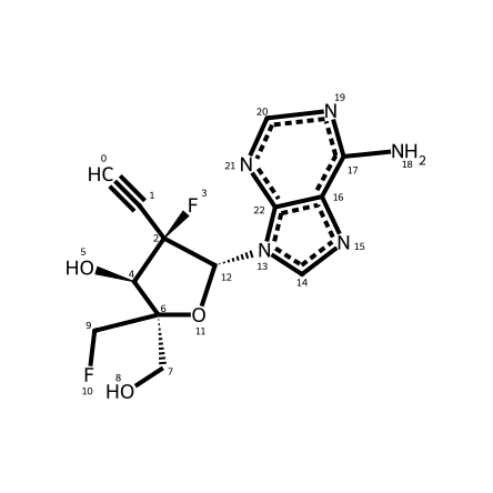 C#C[C@@]1(F)[C@H](O)[C@](CO)(CF)O[C@H]1n1cnc2c(N)ncnc21